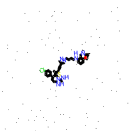 C=Cc1cccc(NCCCCN2CC(C#Cc3sc4c(c3C)C(c3ccc(Cl)cc3)=CCC(=N)N4C(C)=N)C=N2)c1CN(C)C1CC1